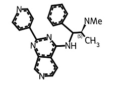 CN[C@@H](C)C(Nc1nc(-c2ccncc2)nc2cnccc12)c1ccccc1